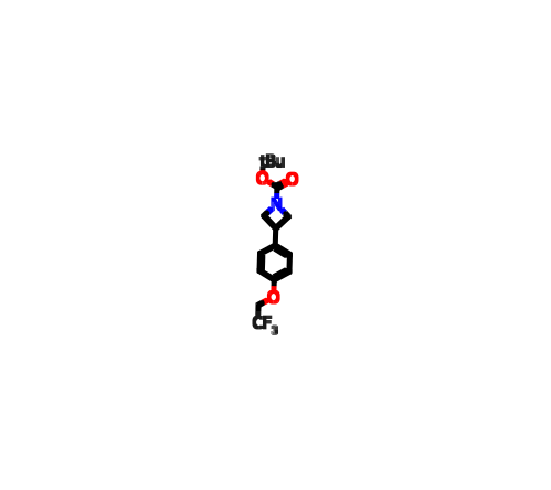 CC(C)(C)OC(=O)N1CC(c2ccc(OCC(F)(F)F)cc2)C1